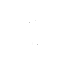 CC(C)NCN(C)C